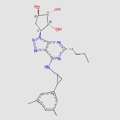 CCCSc1nc(NC2CC2c2cc(C)cc(C)c2)c2nnn([C@H]3C[C@@H](O)[C@H](O)[C@@H]3O)c2n1